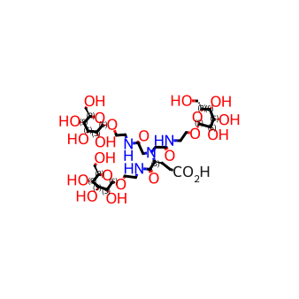 O=C(O)CC[C@@H](C(=O)NCCO[C@H]1O[C@H](CO)[C@@H](O)[C@H](O)[C@@H]1O)N(CC(=O)NCCO[C@H]1O[C@H](CO)[C@@H](O)[C@H](O)[C@@H]1O)CC(=O)NCCO[C@H]1O[C@H](CO)[C@@H](O)[C@H](O)[C@@H]1O